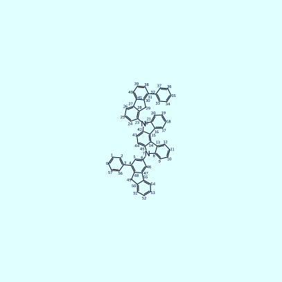 c1ccc(-c2cc(-n3c4ccccc4c4c5c6ccccc6n(-c6cccc7c6Cc6c(-c8ccccc8)cccc6-7)c5ccc43)cc3c2Cc2ccccc2-3)cc1